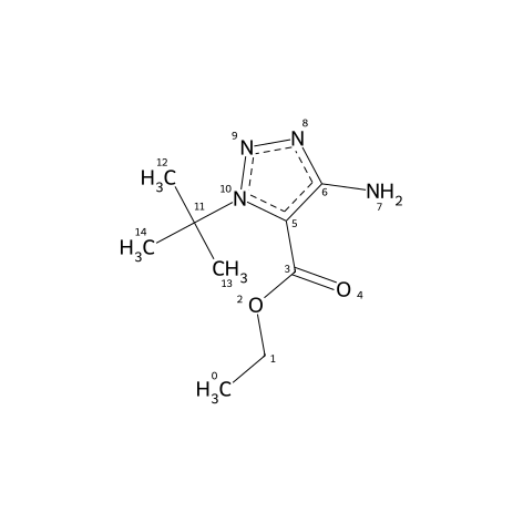 CCOC(=O)c1c(N)nnn1C(C)(C)C